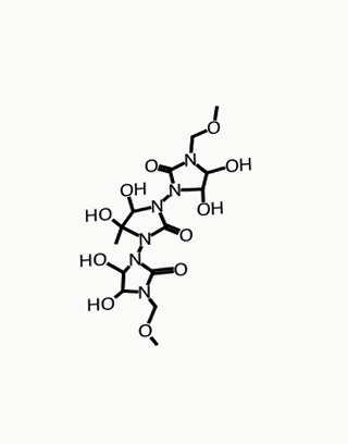 COCN1C(=O)N(N2C(=O)N(N3C(=O)N(COC)C(O)C3O)C(C)(O)C2O)C(O)C1O